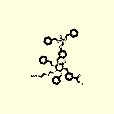 COCCOCO[C@@H]1[C@@H](CCc2ccccc2)N(Cc2cccc(OCP(=O)(OCc3ccccc3)OCc3ccccc3)c2)C(=O)N(Cc2cccc(C(N)=O)c2)[C@@H]1Cc1ccccc1